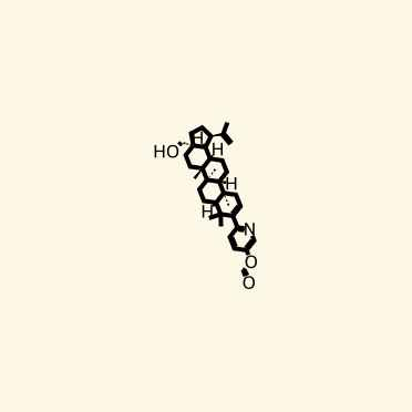 C=C(C)[C@@H]1CC[C@]2(CO)CC[C@]3(C)[C@H](CC[C@@H]4[C@@]5(C)CC=C(c6ccc(OC=O)cn6)C(C)(C)[C@@H]5CC[C@]43C)[C@@H]12